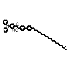 CCCCCCCCCCCCCCCCCCCc1ccc(-c2ccc(C(O)C(=O)c3ccc(N(c4ccccc4)c4ccccc4)cc3)cc2)cc1